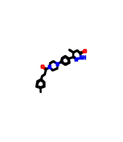 Cc1ccc(CCC(=O)N2CCN(c3ccc(C4=NNC(=O)CC4C)cc3)CC2)cc1